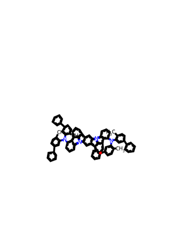 Cc1ccc(-c2ccccc2)cc1N(c1cc(-c2ccccc2)ccc1C)c1cccc2c1c1cccc3c4cc5c(cc4n2c31)c1cccc2c3c(N(c4cc(-c6ccccc6)ccc4C)c4cc(-c6ccccc6)ccc4C)cccc3n5c12